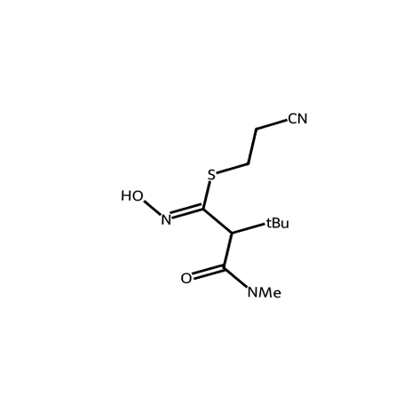 CNC(=O)C(/C(=N/O)SCCC#N)C(C)(C)C